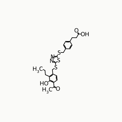 CCCc1c(CSc2nnc(SCc3ccc(CCC(=O)O)cc3)s2)ccc(C(C)=O)c1O